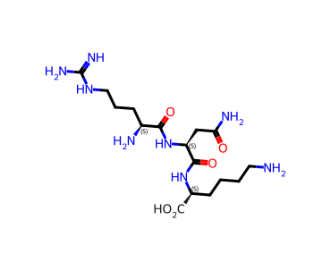 N=C(N)NCCC[C@H](N)C(=O)N[C@@H](CC(N)=O)C(=O)N[C@@H](CCCCN)C(=O)O